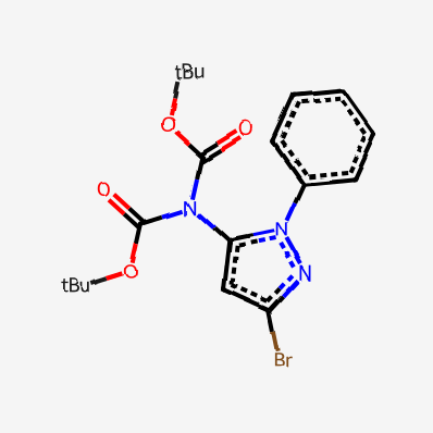 CC(C)(C)OC(=O)N(C(=O)OC(C)(C)C)c1cc(Br)nn1-c1ccccc1